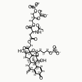 CC(=O)NC(CC(=O)OCC(=O)[C@@]1(OC(=O)CCCO[N+](=O)[O-])[C@H](O)CC2C3C[C@H](F)C4=CC(=O)C=C[C@]4(C)[C@@]3(F)[C@@H](O)C[C@@]21C)C(=O)OCC(CO[N+](=O)[O-])O[N+](=O)[O-]